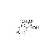 CC[C@H](C)C(F)C(=O)O